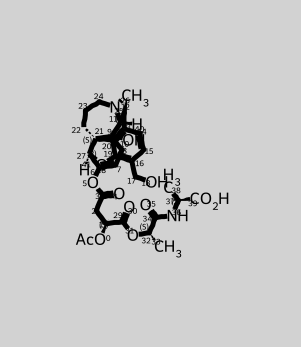 CC(=O)O[C@@H](CC(=O)OC1=CC[C@@]2(O)[C@H]3Cc4ccc(CO)c5c4[C@@]2(CCCN3C)[C@H]1O5)C(=O)O[C@@H](C)C(=O)N[C@@H](C)C(=O)O